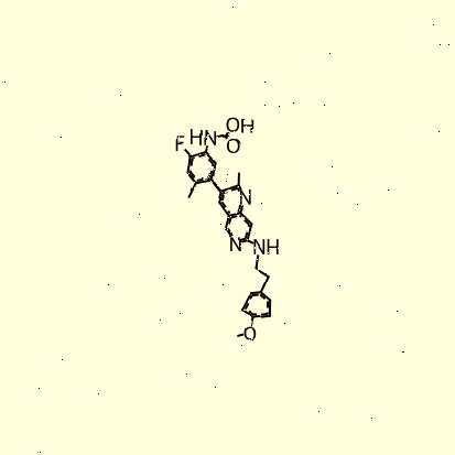 COc1ccc(CCNc2cc3nc(C)c(-c4cc(NC(=O)O)c(F)cc4C)cc3cn2)cc1